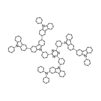 c1ccc(N(c2ccccc2)c2ccc3c(c2)c2ccccc2n3-c2cccc(-c3nc(-c4cccc(-n5c6ccccc6c6cc(-c7ccc8c(c7)c7ccccc7n8-c7ccccc7)ccc65)c4)nc(-c4cccc(-n5c6ccc(-c7ccc8c(c7)c7ccccc7n8-c7ccccc7)cc6c6cc(-c7ccc8c(c7)c7ccccc7n8-c7ccccc7)ccc65)c4)n3)c2)cc1